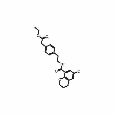 CCOC(=O)Cc1ccc(CCNC(=O)c2cc(Cl)cc3c2OCCC3)cc1